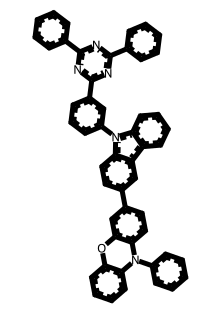 c1ccc(-c2nc(-c3ccccc3)nc(-c3cccc(-n4c5ccccc5c5cc(-c6ccc7c(c6)Oc6ccccc6N7c6ccccc6)ccc54)c3)n2)cc1